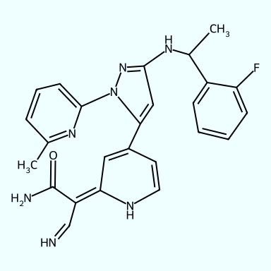 Cc1cccc(-n2nc(NC(C)c3ccccc3F)cc2C2=C/C(=C(/C=N)C(N)=O)NC=C2)n1